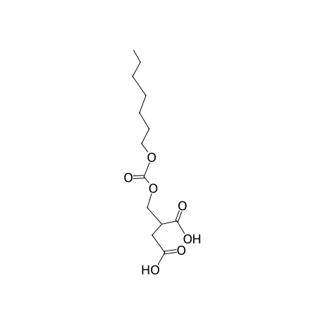 CCCCCCCOC(=O)OCC(CC(=O)O)C(=O)O